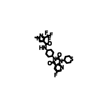 Cn1cc(C(=O)N[C@H]2CC[C@@H](n3c(=O)c4cc(F)cnc4n(C4CCSCC4)c3=O)CC2)c(C(F)(F)F)n1